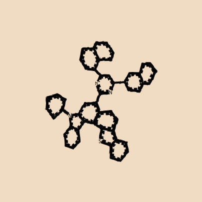 c1ccc(-n2c3ccccc3c3c4c(ccc5c6ccccc6sc54)c(-c4nc(-c5ccc6ccccc6c5)cc(-c5cccc6ccccc56)n4)cc32)cc1